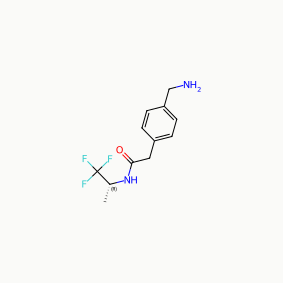 C[C@@H](NC(=O)Cc1ccc(CN)cc1)C(F)(F)F